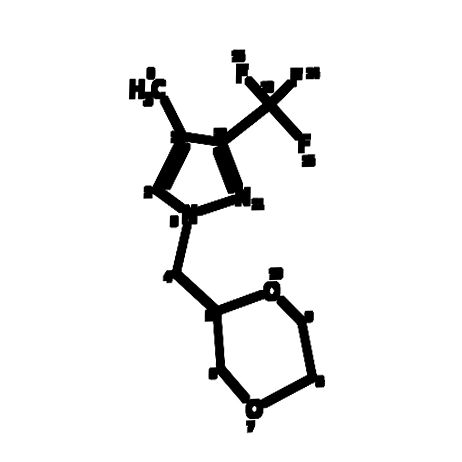 Cc1cn(CC2COCCO2)nc1C(F)(F)F